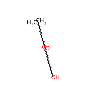 CC(C)CCCCCCCCCCCCCCCOC(=O)CCCCCCCCCCCCCCCCCO